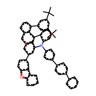 CC(C)(C)c1cc(-c2cccc3cccc(-c4ccccc4N(c4ccc(-c5ccc(-c6ccccc6)cc5)cc4)c4cccc(-c5ccc6oc7ccccc7c6c5)c4)c23)cc(C(C)(C)C)c1